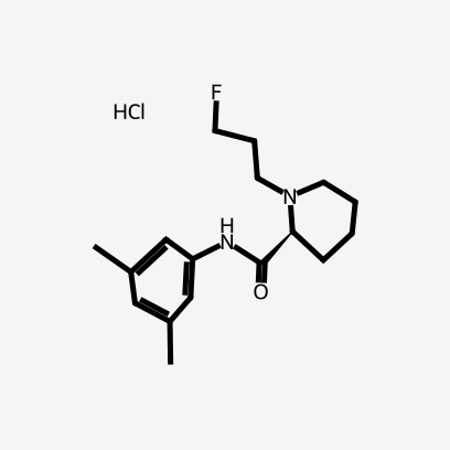 Cc1cc(C)cc(NC(=O)[C@@H]2CCCCN2CCCF)c1.Cl